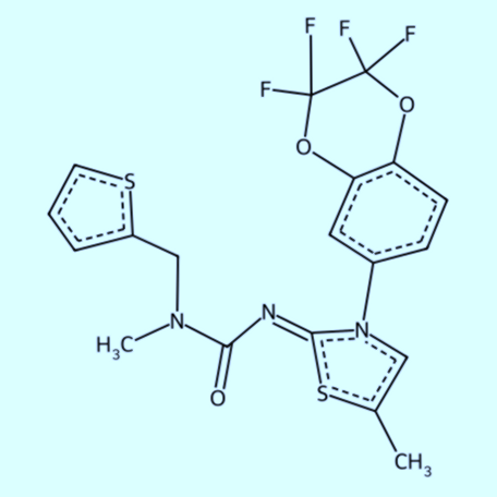 Cc1cn(-c2ccc3c(c2)OC(F)(F)C(F)(F)O3)c(=NC(=O)N(C)Cc2cccs2)s1